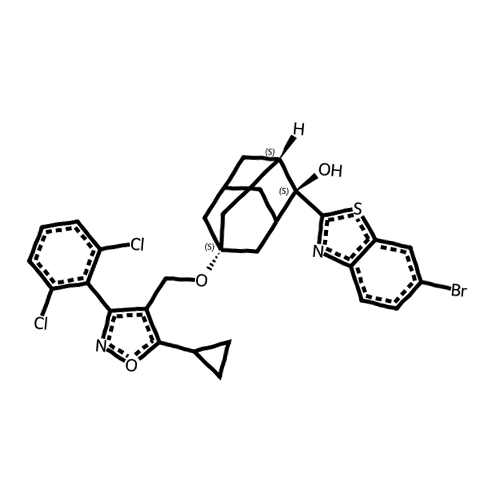 O[C@@]1(c2nc3ccc(Br)cc3s2)C2CC3C[C@H]1C[C@](OCc1c(-c4c(Cl)cccc4Cl)noc1C1CC1)(C3)C2